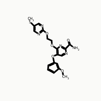 COc1cccc(Oc2[c]nc(C(N)=O)nc2OCCOc2ncc(SC)cn2)c1